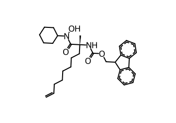 C=CCCCCCC[C@@](C)(NC(=O)OCC1c2ccccc2-c2ccccc21)C(=O)N(O)C1CCCCC1